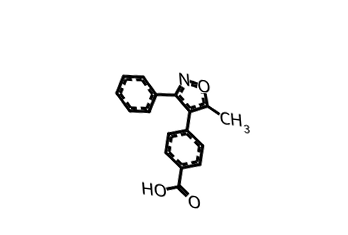 Cc1onc(-c2ccccc2)c1-c1ccc(C(=O)O)cc1